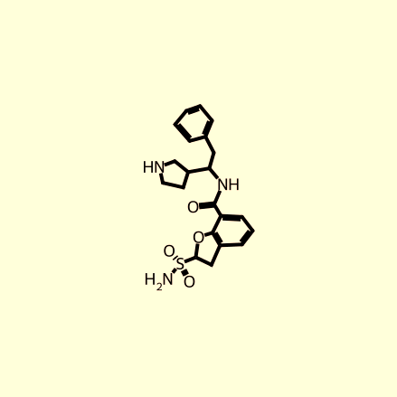 NS(=O)(=O)C1Cc2cccc(C(=O)NC(Cc3ccccc3)C3CCNC3)c2O1